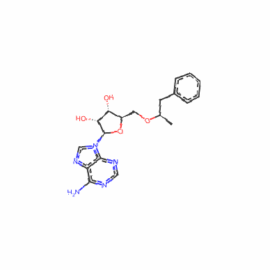 C[C@H](Cc1ccccc1)OC[C@H]1O[C@@H](n2cnc3c(N)ncnc32)[C@H](O)[C@@H]1O